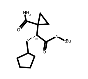 CC(C)(C)NC(=O)[C@H](CC1CCCC1)C1(C(N)=O)CC1